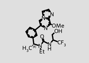 CCN(C(=O)NC(CO)C(F)(F)F)[C@H](C)c1cccc(-c2cn3ccnc3c(OC)n2)c1